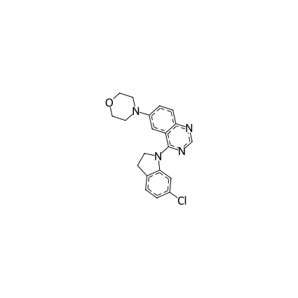 Clc1ccc2c(c1)N(c1ncnc3ccc(N4CCOCC4)cc13)CC2